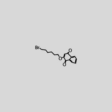 O=C1C=C(OCCCCCCBr)C(=O)c2ccccc21